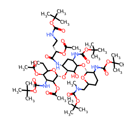 CCC1O[C@H](O[C@@H]2C(O)C(O[C@H]3OC(CN(C)C(=O)OC(C)(C)C)CCC3NC(=O)OC(C)(C)C)[C@H](NC(=O)OC(C)(C)C)C[C@H]2NC(=O)[C@H](CCNC(=O)OC(C)(C)C)OC(C)=O)C(OC(C)=O)[C@@H](NC(=O)OC(C)(C)C)[C@H]1OC(C)=O